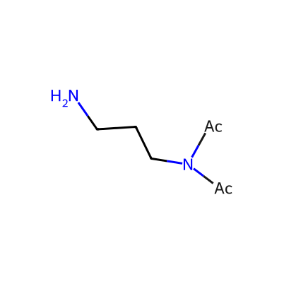 CC(=O)N(CCCN)C(C)=O